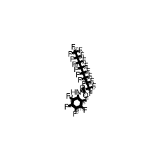 O=S(=O)(Nc1c(F)c(F)c(F)c(F)c1F)C(F)(F)C(F)(F)C(F)(F)C(F)(F)C(F)(F)C(F)(F)C(F)(F)C(F)(F)F